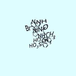 Cc1ccccc1S(=O)(=O)O.Cc1ccccc1S(=O)(=O)O.N[C@@H]1CCCN(c2c(Br)cnc3[nH]cc(NC(=O)C4CC4)c23)C1